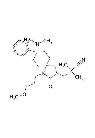 COCCCN1C(=O)N(CC(C)(C)C#N)CC12CCC(c1ccccc1)(N(C)C)CC2